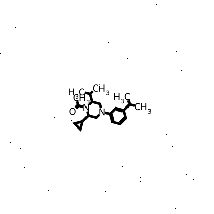 CC(=O)N1C(C(C)C)CN(c2cccc(C(C)C)c2)CC1C1CC1